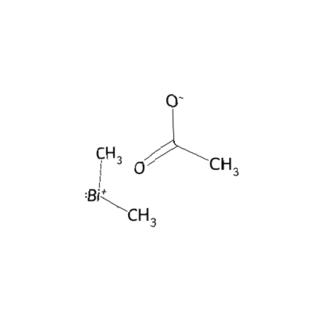 CC(=O)[O-].[CH3][Bi+][CH3]